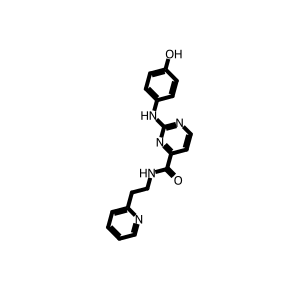 O=C(NCCc1ccccn1)c1ccnc(Nc2ccc(O)cc2)n1